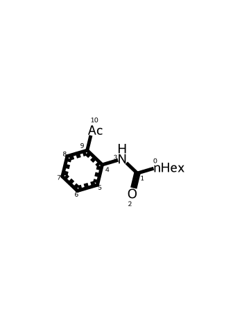 CCCCCCC(=O)Nc1ccccc1C(C)=O